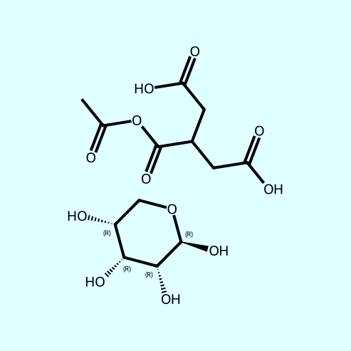 CC(=O)OC(=O)C(CC(=O)O)CC(=O)O.O[C@@H]1[C@H](O)[C@H](O)CO[C@H]1O